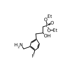 CCOP(=O)(CC(O)Cc1ccc(F)c(CN)c1)OCC